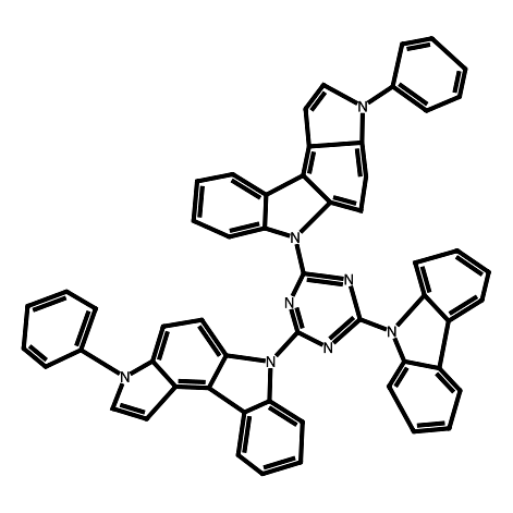 c1ccc(-n2ccc3c4c5ccccc5n(-c5nc(-n6c7ccccc7c7ccccc76)nc(-n6c7ccccc7c7c8ccn(-c9ccccc9)c8ccc76)n5)c4ccc32)cc1